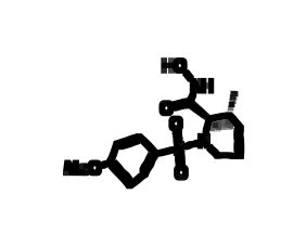 COc1ccc(S(=O)(=O)N2CC=C[C@@H](C)[C@@H]2C(=O)NO)cc1